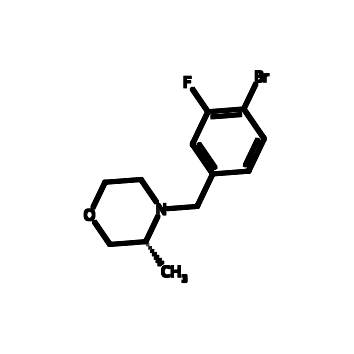 C[C@@H]1COCCN1Cc1ccc(Br)c(F)c1